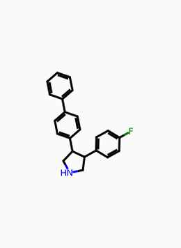 Fc1ccc(C2CNCC2c2ccc(-c3ccccc3)cc2)cc1